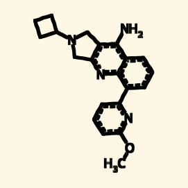 COc1cccc(-c2cccc3c(N)c4c(nc23)CN(C2CCC2)C4)n1